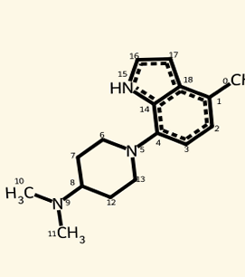 Cc1ccc(N2CCC(N(C)C)CC2)c2[nH]ccc12